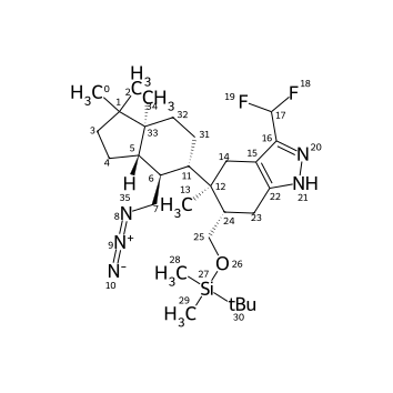 CC1(C)CC[C@H]2[C@H](CN=[N+]=[N-])[C@@H]([C@@]3(C)Cc4c(C(F)F)n[nH]c4C[C@@H]3CO[Si](C)(C)C(C)(C)C)CC[C@@]21C